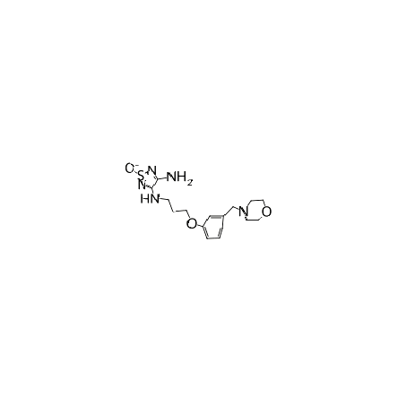 Nc1n[s+]([O-])nc1NCCCOc1cccc(CN2CCOCC2)c1